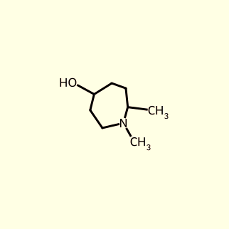 CC1CCC(O)CCN1C